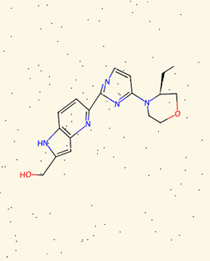 CC[C@H]1COCCN1c1ccnc(-c2ccc3[nH]c(CO)cc3n2)n1